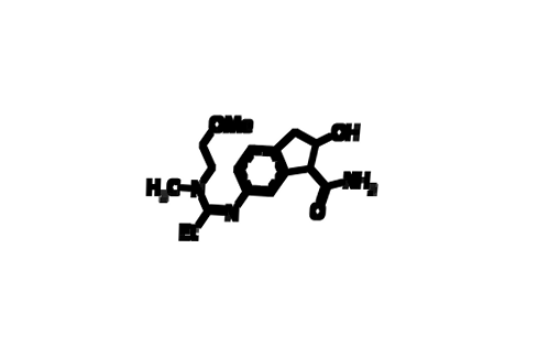 CCC(=Nc1ccc2c(c1)C(C(N)=O)C(O)C2)N(C)CCOC